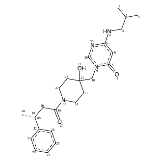 CC(C)CNc1cc(=O)n(CC2(O)CCN(C(=O)C[C@@H](C)c3ccccc3)CC2)cn1